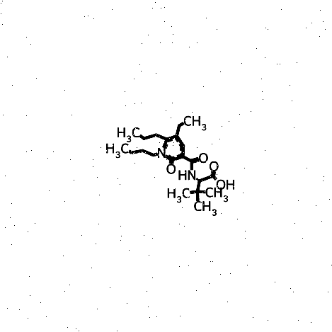 CCCCn1c(CCC)c(CC)cc(C(=O)N[C@H](C(=O)O)C(C)(C)C)c1=O